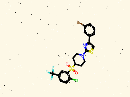 O=S(=O)(c1cc(C(F)(F)F)ccc1Cl)C1CCN(c2nc(-c3cccc(Br)c3)cs2)CC1